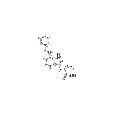 N[C@@H](Cc1c[nH]c2c(OCc3ccccc3)cccc12)C(=O)O